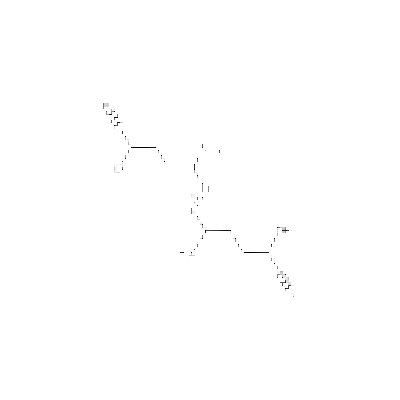 CC(CCC(O)C#N)/N=N/C(C)CCC(O)C#N